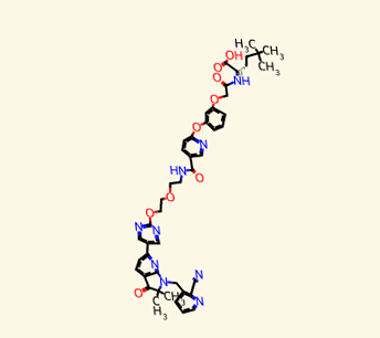 CC(C)(C)CC[C@H](NC(=O)COc1cccc(Oc2ccc(C(=O)NCCOCCOc3ncc(-c4ccc5c(n4)N(Cc4cccnc4C#N)C(C)(C)C5=O)cn3)cn2)c1)C(=O)O